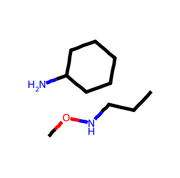 CCCNOC.NC1CCCCC1